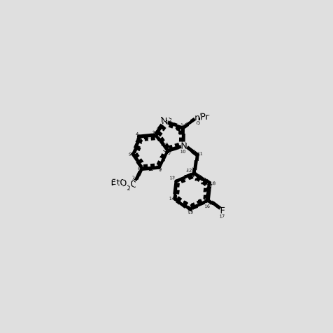 CCCc1nc2ccc(C(=O)OCC)cc2n1Cc1cccc(F)c1